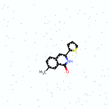 Cc1ccc2cc(-c3cccs3)[nH]c(=O)c2c1